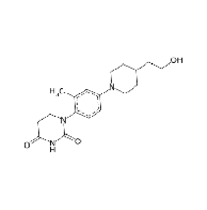 Cc1cc(N2CCC(CCO)CC2)ccc1N1CCC(=O)NC1=O